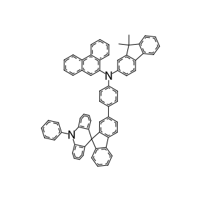 CC1(C)c2ccccc2-c2ccc(N(c3ccc(-c4ccc5c(c4)C4(c6ccccc6-5)c5ccccc5N(c5ccccc5)c5ccccc54)cc3)c3cc4ccccc4c4ccccc34)cc21